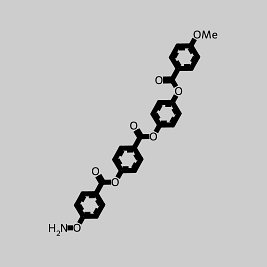 COc1ccc(C(=O)Oc2ccc(OC(=O)c3ccc(OC(=O)c4ccc(ON)cc4)cc3)cc2)cc1